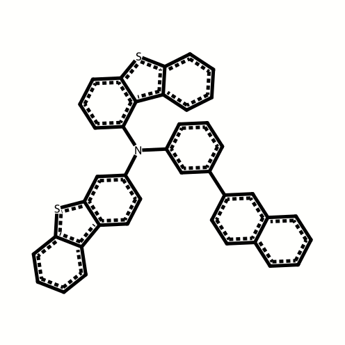 c1cc(-c2ccc3ccccc3c2)cc(N(c2ccc3c(c2)sc2ccccc23)c2cccc3sc4ccccc4c23)c1